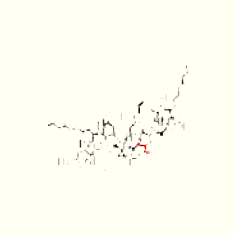 C=CCCCCCCN(C(=O)[C@@H](CO)NC(=O)C(CC(C)C)NC(=O)[C@@H](CO)NC(=O)C(CCCCCCCC)NC(C)=O)C1(C(=O)N[C@H](CC(=O)O)C(=O)NC(CCCCCCCC)C(=O)N[C@H](CC(=O)O)C(N)=O)C[C@H]1C(C)C